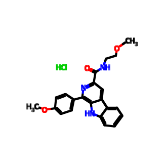 COCCNC(=O)c1cc2c([nH]c3ccccc32)c(-c2ccc(OC)cc2)n1.Cl